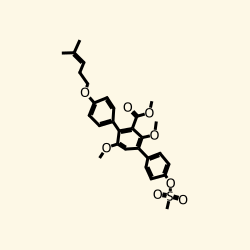 COC(=O)c1c(OC)c(-c2ccc(OS(C)(=O)=O)cc2)cc(OC)c1-c1ccc(OCCC=C(C)C)cc1